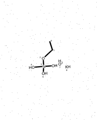 CCO[Si](O)(O)O.O.[KH]